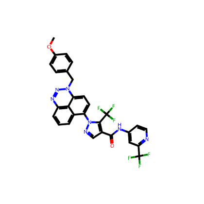 COc1ccc(CN2N=Nc3cccc4c(-n5ncc(C(=O)Nc6ccnc(C(F)(F)F)c6)c5C(F)(F)F)ccc2c34)cc1